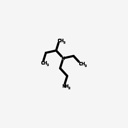 CCC(C)N(CC)CCN